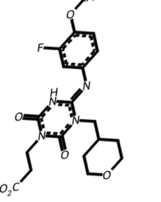 CC(C)Oc1ccc(/N=c2\[nH]c(=O)n(CCC(=O)O)c(=O)n2CC2CCOCC2)cc1F